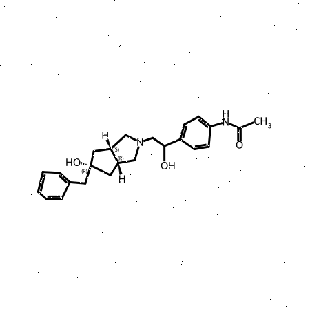 CC(=O)Nc1ccc(C(O)CN2C[C@@H]3C[C@@](O)(Cc4ccccc4)C[C@@H]3C2)cc1